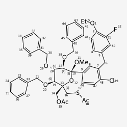 CCOc1ccc(Cc2cc([C@]3(OC)O[C@](COC(C)=O)(CSC(C)=O)[C@@H](OCc4ccccc4)[C@H](OCc4ccccc4)[C@H]3OCc3ccccc3)ccc2Cl)cc1F